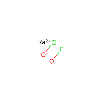 [O-]Cl.[O-]Cl.[Ra+2]